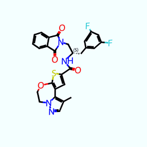 Cc1cnn2c1-c1cc(C(=O)N[C@@H](Cc3cc(F)cc(F)c3)CN3C(=O)c4ccccc4C3=O)sc1OCC2